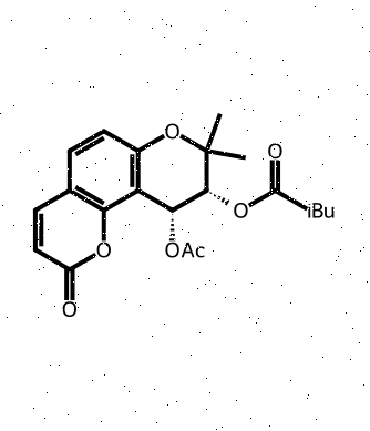 CCC(C)C(=O)O[C@@H]1[C@H](OC(C)=O)c2c(ccc3ccc(=O)oc23)OC1(C)C